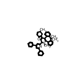 CC1C=Cc2oc3c(c2C1)C1=C(c2ccccc2C(C)(C)c2ccccc21)N(C)C3c1cc(-c2ccccc2)cc(-c2ccccc2)n1